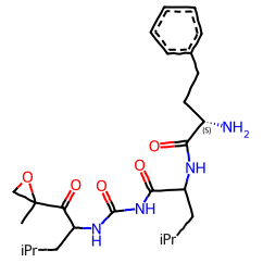 CC(C)CC(NC(=O)[C@@H](N)CCc1ccccc1)C(=O)NC(=O)NC(CC(C)C)C(=O)C1(C)CO1